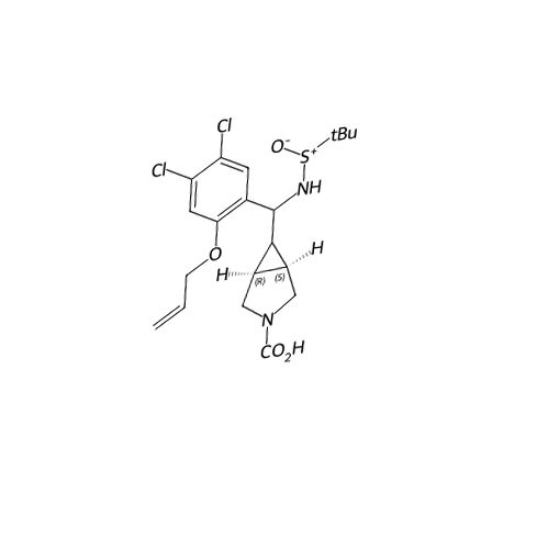 C=CCOc1cc(Cl)c(Cl)cc1C(N[S+]([O-])C(C)(C)C)C1[C@H]2CN(C(=O)O)C[C@@H]12